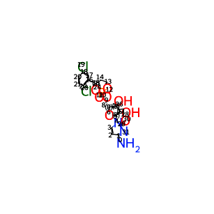 Nc1ccn([C@@H]2O[C@H](COP3(=O)OCC[C@H](c4cc(Cl)ccc4Cl)O3)[C@@H](O)[C@@H]2O)c(=O)n1